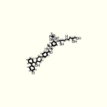 O=C(NS(=O)(=O)c1ccc(N[C@H](S)CCNCC[C@H](O)CO)c(S(=O)(=O)C(F)(F)F)c1)c1ccc(N2CCC([C@@H](O)c3ccccc3-c3ccc(Cl)cc3)CC2)cc1